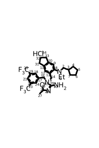 CCN(CC1CCCC1)c1cc2c(cc1C[N+]1(Cc3cc(C(F)(F)F)cc(C(F)(F)F)c3)OC(C)N=C1N)CCC2.Cl